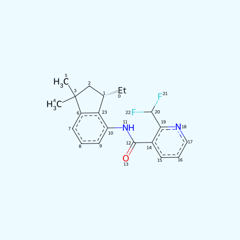 CC[C@H]1CC(C)(C)c2cccc(NC(=O)c3cccnc3C(F)F)c21